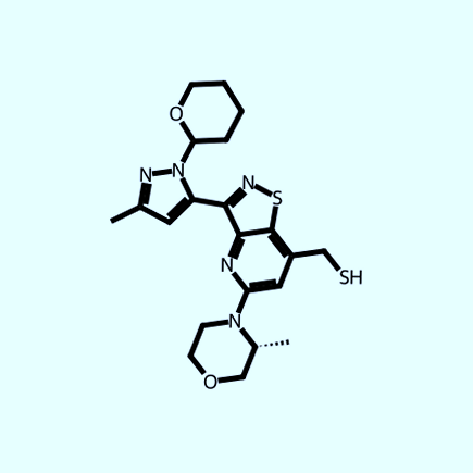 Cc1cc(-c2nsc3c(CS)cc(N4CCOC[C@H]4C)nc23)n(C2CCCCO2)n1